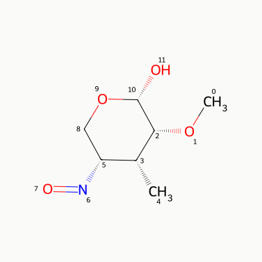 CO[C@@H]1[C@H](C)[C@H](N=O)CO[C@@H]1O